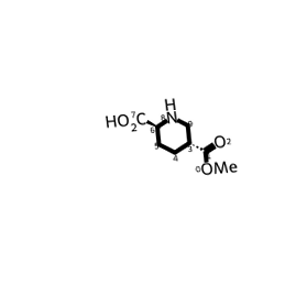 COC(=O)[C@@H]1CC[C@@H](C(=O)O)NC1